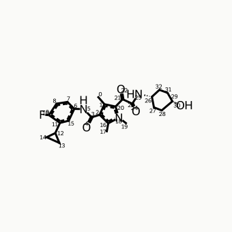 Cc1c(C(=O)Nc2ccc(F)c(C3CC3)c2)c(C)n(C)c1C(=O)C(=O)N[C@H]1CC[C@@H](O)CC1